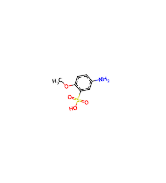 COc1ccc(N)cc1S(=O)(=O)O